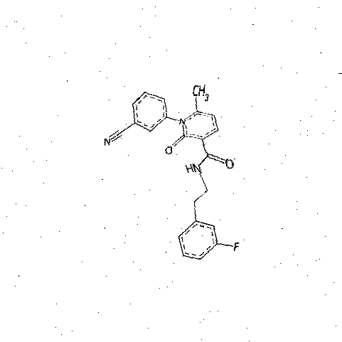 Cc1ccc(C(=O)NCCc2cccc(F)c2)c(=O)n1-c1cccc(C#N)c1